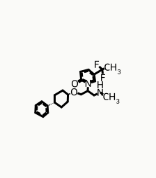 CNCC(CO[C@H]1CC[C@@H](c2ccccc2)CC1)n1cc(C(C)(F)F)ccc1=O